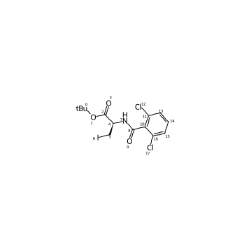 CC(C)(C)OC(=O)[C@H](CI)NC(=O)c1c(Cl)cccc1Cl